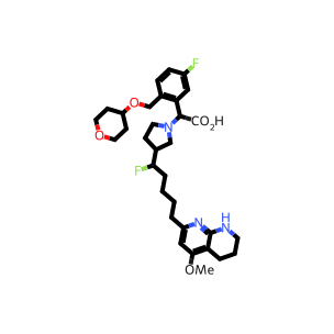 COc1cc(CCCCC(F)C2CCN(C(C(=O)O)c3cc(F)ccc3COC3CCOCC3)C2)nc2c1CCCN2